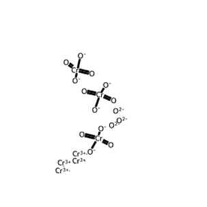 [Cr+3].[Cr+3].[Cr+3].[Cr+3].[O-2].[O-2].[O-2].[O]=[Cr](=[O])([O-])[O-].[O]=[Cr](=[O])([O-])[O-].[O]=[Cr](=[O])([O-])[O-]